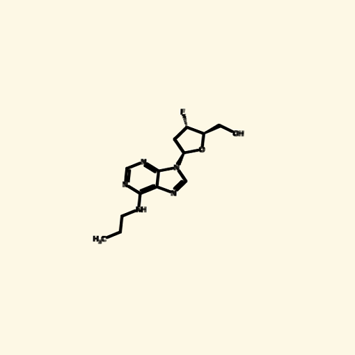 CCCNc1ncnc2c1ncn2[C@H]1C[C@H](F)[C@@H](CO)O1